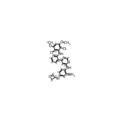 COc1cc(OC)c(Cl)c(Nc2ncccc2-c2cc(Nc3ccc(OC4COC4)cc3N)ncn2)c1Cl